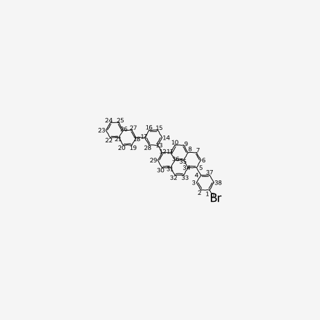 Brc1ccc(-c2ccc3ccc4c(-c5cccc(-c6ccc7ccccc7c6)c5)ccc5ccc2c3c54)cc1